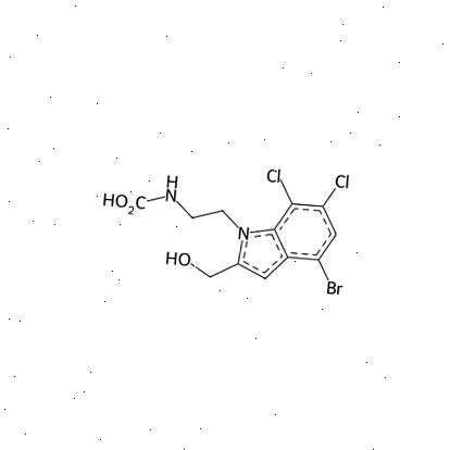 O=C(O)NCCn1c(CO)cc2c(Br)cc(Cl)c(Cl)c21